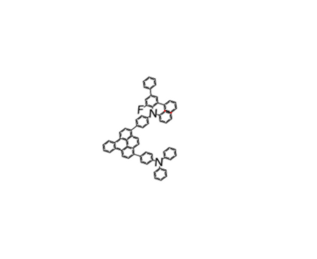 Fc1cc(-c2ccccc2)cc(-c2ccccc2)c1N(c1ccccc1)c1ccc(-c2ccc3c4ccccc4c4ccc(-c5ccc(N(c6ccccc6)c6ccccc6)cc5)c5ccc2c3c54)cc1